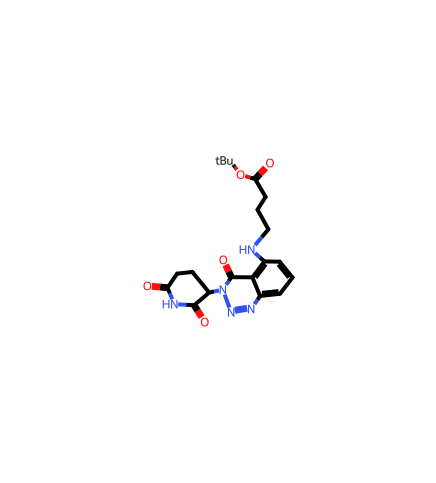 CC(C)(C)OC(=O)CCCNc1cccc2nnn(C3CCC(=O)NC3=O)c(=O)c12